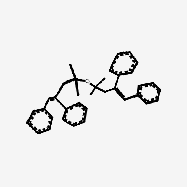 CC(C)(CC(=Cc1ccccc1)c1ccccc1)OC(C)(C)CC(=Cc1ccccc1)c1ccccc1